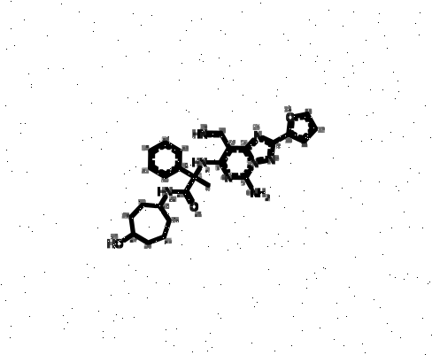 CC(Nc1nc(N)n2nc(-c3ccco3)nc2c1C=N)(C(=O)NC1CCCC(O)CC1)c1ccccc1